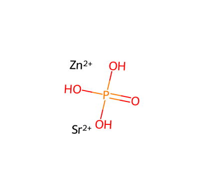 O=P(O)(O)O.[Sr+2].[Zn+2]